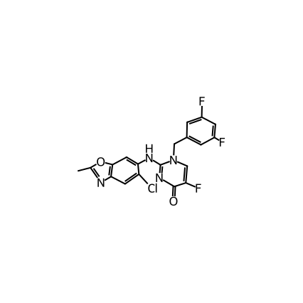 Cc1nc2cc(Cl)c(Nc3nc(=O)c(F)cn3Cc3cc(F)cc(F)c3)cc2o1